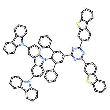 c1ccc(-c2cc(-c3nc(-c4ccc5c(c4)sc4ccccc45)nc(-c4ccc5c(c4)sc4ccccc45)n3)cc(-c3ccccc3)c2-n2c3ccc(-n4c5ccccc5c5ccccc54)cc3c3cc(-n4c5ccccc5c5ccccc54)ccc32)cc1